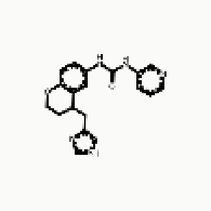 O=C(Nc1cccnc1)Nc1ccc2c(c1)C(Cc1c[nH]cn1)CCO2